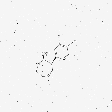 CCOC(=O)[C@@H]1NCCOC[C@@H]1c1ccc(Cl)c(Cl)c1